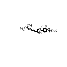 CCCCCCCCCCOc1ccc(-c2ncc(CCCCCC(C)O)cn2)c(F)c1F